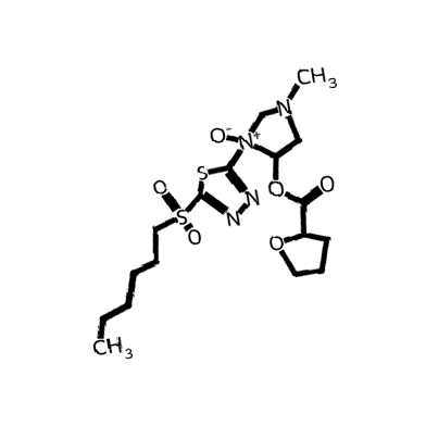 CCCCCCS(=O)(=O)c1nnc([N+]2([O-])CN(C)CC2OC(=O)C2CCCO2)s1